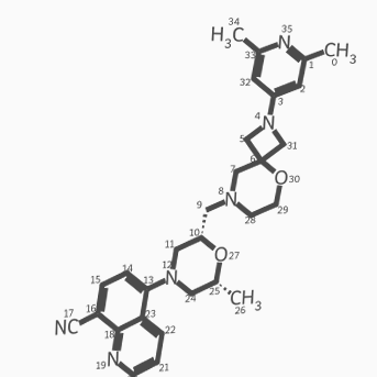 Cc1cc(N2CC3(CN(C[C@H]4CN(c5ccc(C#N)c6ncccc56)C[C@@H](C)O4)CCO3)C2)cc(C)n1